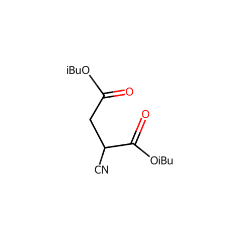 CC(C)COC(=O)CC(C#N)C(=O)OCC(C)C